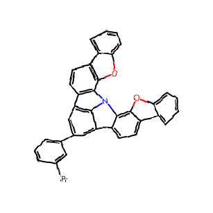 CC(C)c1cccc(-c2cc3c4ccc5c6ccccc6oc5c4n4c3c(c2)c2ccc3c5ccccc5oc3c24)c1